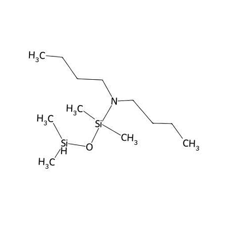 CCCCN(CCCC)[Si](C)(C)O[SiH](C)C